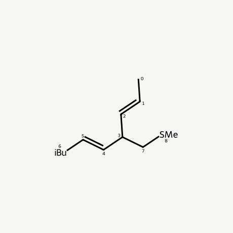 CC=CC(/C=C/C(C)CC)CSC